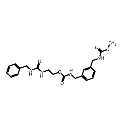 COC(=O)NCc1cccc(CNC(=O)OCCNC(=O)NCc2ccccc2)c1